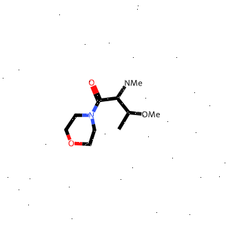 CNC(C(=O)N1CCOCC1)C(C)OC